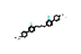 Cc1ccc(-c2ccc(CCCCc3ccc(C4C=CC(C)CC4)c(F)c3)c(F)c2)cc1